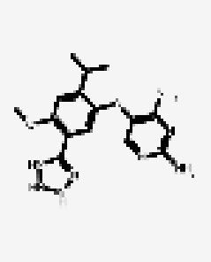 COc1cc(C(C)C)c(Oc2cnc(N)nc2N)cc1C1=NNNN1